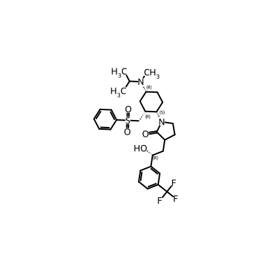 CC(C)N(C)[C@@H]1CC[C@H](N2CCC(C[C@@H](O)c3cccc(C(F)(F)F)c3)C2=O)[C@H](CS(=O)(=O)c2ccccc2)C1